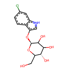 OCC1O[C@@H](Oc2c[nH]c3cc(Cl)ccc23)C(O)C(O)[C@@H]1O